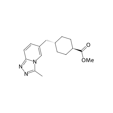 COC(=O)[C@H]1CC[C@H](Cc2ccc3nnc(C)n3c2)CC1